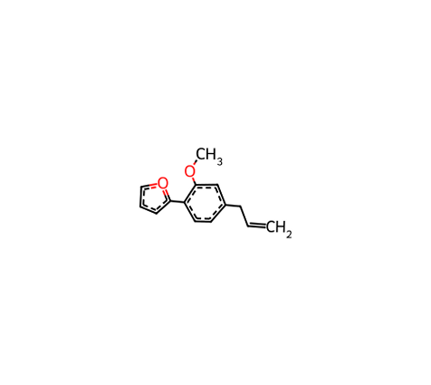 C=CCc1ccc(-c2ccco2)c(OC)c1